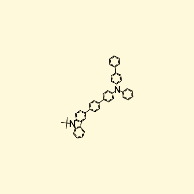 CC(C)(C)n1c2ccccc2c2cc(-c3ccc(-c4ccc(N(c5ccccc5)c5ccc(-c6ccccc6)cc5)cc4)cc3)ccc21